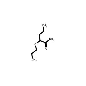 CCCOC(CCC)C(N)=O